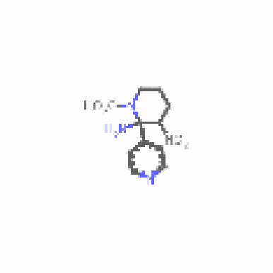 NC1(c2ccncc2)C([N+](=O)[O-])CCCN1C(=O)O